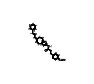 COc1ccc(CCC(=O)Nc2nc3c(s2)CCN(C/C=C/c2cccnc2)CC3)cc1